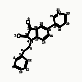 O=C1C(=O)N(CCc2ccccc2)c2ccc(-c3cccnc3)cc21